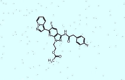 CC(=O)OCCn1nc(NC(=O)Cc2ccc(F)cc2)c2cc(F)c(-c3cnn4ccccc34)nc21